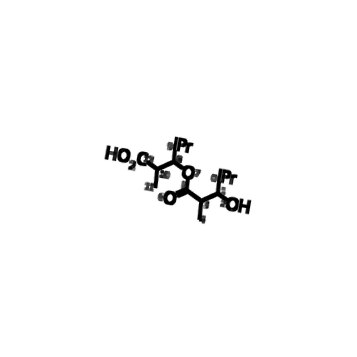 CC(C)C(O)C(C)C(=O)OC(C(C)C)C(C)C(=O)O